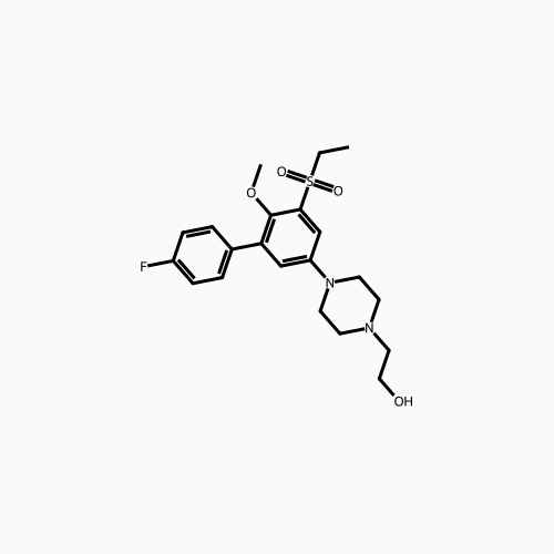 CCS(=O)(=O)c1cc(N2CCN(CCO)CC2)cc(-c2ccc(F)cc2)c1OC